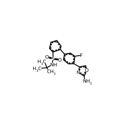 CC(C)(C)NS(=O)(=O)c1ccccc1-c1ccc(-c2coc(N)n2)c(F)c1